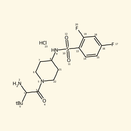 CC(C)(C)C(N)C(=O)N1CCC(NS(=O)(=O)c2ccc(F)cc2F)CC1.Cl